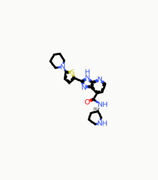 O=C(N[C@H]1CCCNC1)c1ccnc2[nH]c(-c3ccc(N4CCCCC4)s3)nc12